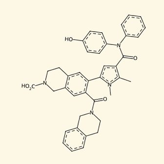 Cc1c(C(=O)N(c2ccccc2)c2ccc(O)cc2)cc(-c2cc3c(cc2C(=O)N2CCc4ccccc4C2)CN(C(=O)O)CC3)n1C